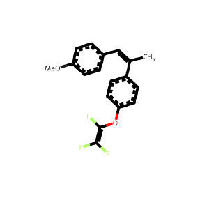 COc1ccc(C=C(C)c2ccc(OC(F)=C(F)F)cc2)cc1